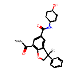 CC[C@@]1(c2ccccc2)COc2c(C(=O)NC)cc(C(=O)NC3CCC(O)CC3)cc21